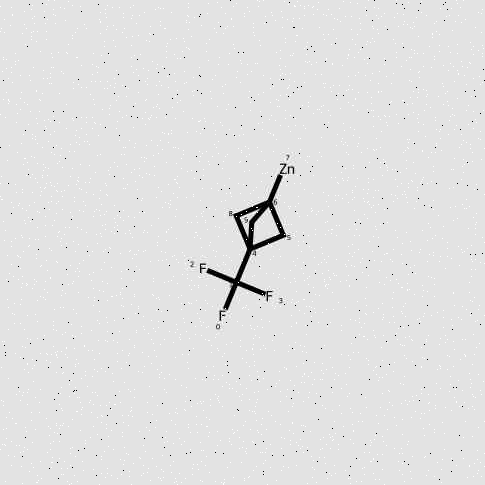 FC(F)(F)C12C[C]([Zn])(C1)C2